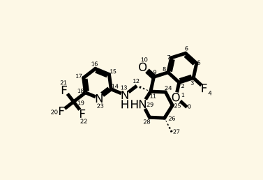 COc1c(F)cccc1C(=O)[C@@]1(CNc2cccc(C(F)(F)F)n2)CC[C@H](C)CN1